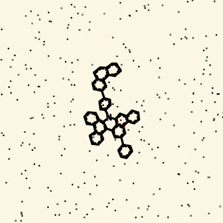 c1ccc(-c2cccc(-c3c(N(c4ccc(-c5ccc6ccc7ccccc7c6c5)cc4)c4ccc5ccccc5c4)c4ccccc4c4ccccc34)c2)cc1